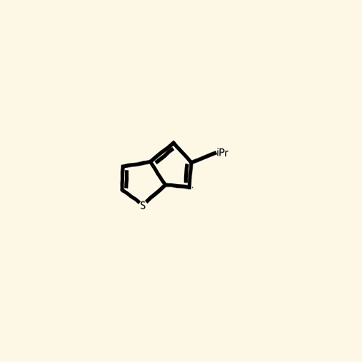 CC(C)C1=[C]C2SC=CC2=C1